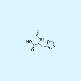 O=CNC(=Cc1ccco1)C(=O)O